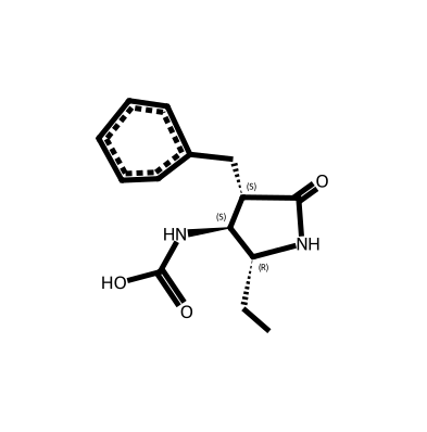 CC[C@H]1NC(=O)[C@@H](Cc2ccccc2)[C@@H]1NC(=O)O